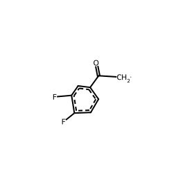 [CH2]C(=O)c1ccc(F)c(F)c1